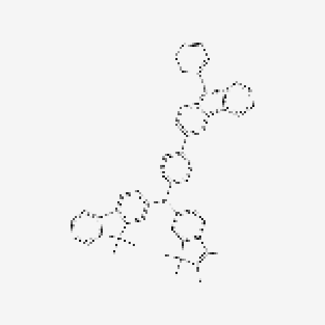 CC1=C(C)C(C)(C)c2cc(N(c3ccc(-c4ccc5c(c4)c4ccccc4n5C4=CC=CCC4)cc3)c3ccc4c(c3)C(C)(C)c3ccccc3-4)ccc21